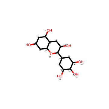 OC1CC(O)C2CC(O)C(C3CC(O)C(O)C(O)C3)OC2C1